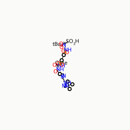 COC(=O)[C@H](CNC(=O)c1ccc2c(cnn2CCCNc2nccn2C(c2ccccc2)(c2ccccc2)c2ccccc2)c1)NS(=O)(=O)c1ccc(-c2ccc(S(=O)(=O)NCCN(C(=O)OC(C)(C)C)[C@H](C)CS(=O)(=O)O)cc2)cc1